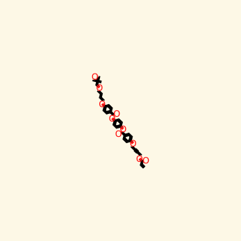 C=CC(=O)OCC#CCOc1ccc(C(=O)Oc2ccc(OC(=O)c3ccc(OCCCCOCC4(C)COC4)cc3)cc2)cc1